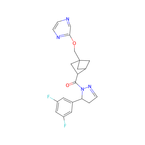 O=C(C1CC2(COc3cnccn3)CC1C2)N1N=CCC1c1cc(F)cc(F)c1